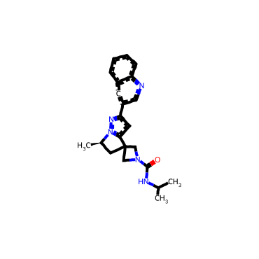 CC(C)NC(=O)N1CC2(C[C@@H](C)n3nc(-c4cnc5ccccc5c4)cc32)C1